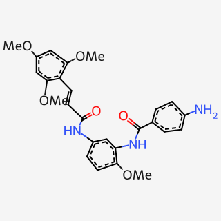 COc1cc(OC)c(/C=C/C(=O)Nc2ccc(OC)c(NC(=O)c3ccc(N)cc3)c2)c(OC)c1